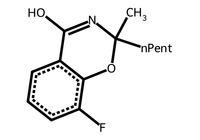 CCCCCC1(C)N=C(O)c2cccc(F)c2O1